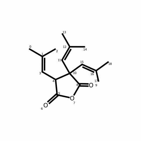 CC(C)=CC1C(=O)OC(=O)C1(C=C(C)C)C=C(C)C